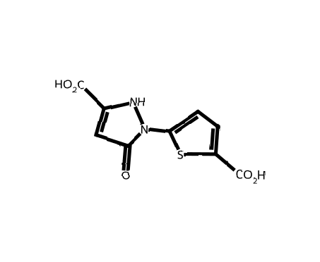 O=C(O)c1cc(=O)n(-c2ccc(C(=O)O)s2)[nH]1